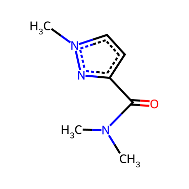 CN(C)C(=O)c1ccn(C)n1